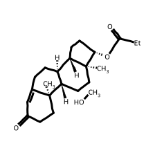 CCC(=O)O[C@H]1CC[C@H]2[C@@H]3CCC4=CC(=O)CC[C@]4(C)[C@H]3CC[C@]12C.CO